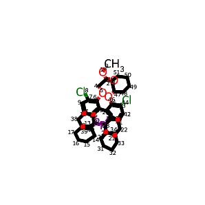 COC(=O)COc1c(Cl)ccc(P(C2CCCCC2)C2CCCCC2)c1-c1c(P(C2CCCCC2)C2CCCCC2)ccc(Cl)c1OC1CCCCC1